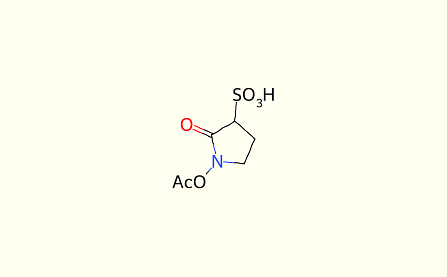 CC(=O)ON1CCC(S(=O)(=O)O)C1=O